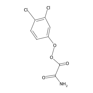 NC(=O)C(=O)OOc1ccc(Cl)c(Cl)c1